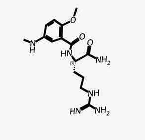 CNc1ccc(OC)c(C(=O)N[C@@H](CCCNC(=N)N)C(N)=O)c1